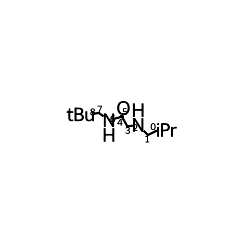 CC(C)CNCC(=O)NCC(C)(C)C